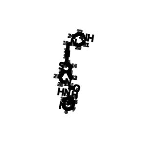 O=C(N[C@H]1CN2CCC1CC2)N1C=c2cc(C#CCN3CCNCC3)sc2=CC1